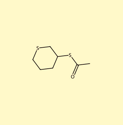 CC(=O)SC1CCCSC1